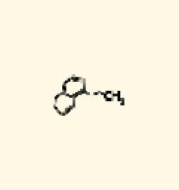 CCCc1c[c]cc2ccccc12